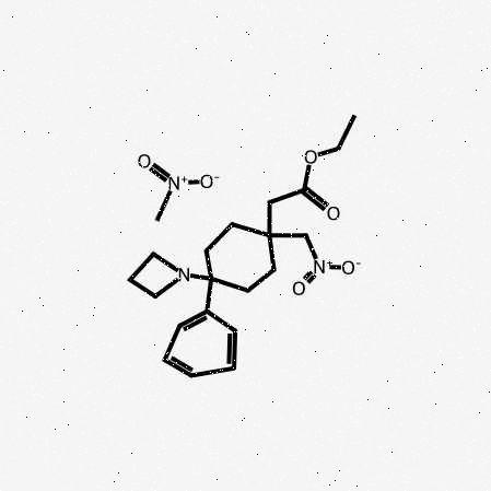 CCOC(=O)CC1(C[N+](=O)[O-])CCC(c2ccccc2)(N2CCC2)CC1.C[N+](=O)[O-]